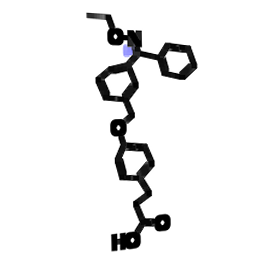 CCO/N=C(/c1ccccc1)c1cccc(COc2ccc(CCC(=O)O)cc2)c1